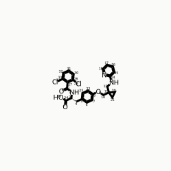 O=C(N[C@H](Cc1ccc(OCC2(CNc3ccccn3)CC2)cc1)C(=O)O)c1c(Cl)cccc1Cl